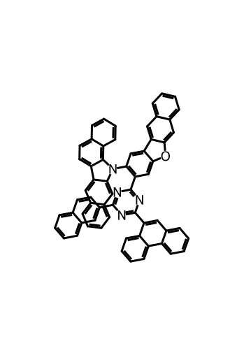 c1ccc2cc(-c3nc(-c4cc5oc6cc7ccccc7cc6c5cc4-n4c5cc6ccccc6cc5c5ccc6ccccc6c54)nc(-c4cc5ccccc5c5ccccc45)n3)ccc2c1